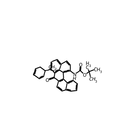 C[C@H](OC(=O)c1ccc2ccccc2c1-c1c(NC(=O)OC(C)(C)C)ccc2ccccc12)C1C=CC=CC1